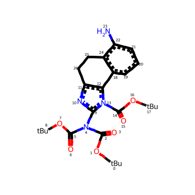 CC(C)(C)OC(=O)N(C(=O)OC(C)(C)C)c1nc2c(n1C(=O)OC(C)(C)C)-c1cccc(N)c1CC2